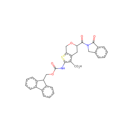 O=C(Nc1sc2c(c1C(=O)O)CC(C(=O)N1Cc3ccccc3C1=O)OC2)OCC1c2ccccc2-c2ccccc21